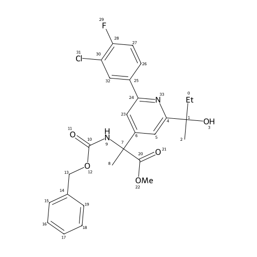 CCC(C)(O)c1cc(C(C)(NC(=O)OCc2ccccc2)C(=O)OC)cc(-c2ccc(F)c(Cl)c2)n1